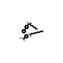 CCCCCCC(C)C(=O)c1ccc(-c2ccccc2)cc1.CCCCCCCCCC(=O)Oc1ccc(C(=O)O)cc1